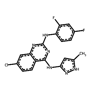 Cc1cc(Nc2nc(Nc3ccc(F)cc3F)nc3cc(Cl)ccc23)n[nH]1